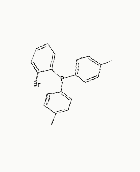 Cc1ccc(P(c2ccc(C)cc2)c2ccccc2Br)cc1